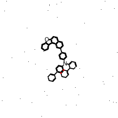 C1=CCC(C2=CCCC=C2)C(N(c2ccc(C3=CCCC=C3)cc2)c2ccc(-c3ccc4ccc5oc6ccccc6c5c4c3)cc2)=C1